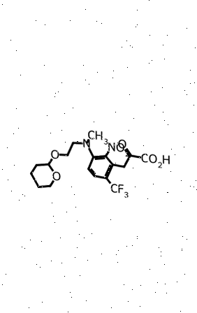 CN(CCOC1CCCCO1)c1ccc(C(F)(F)F)c(CC(=O)C(=O)O)c1[N+](=O)[O-]